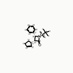 CC(C)(C)[Si](C)(C)N1C(=O)[C@H](C2C=CCC2)[C@@H]1c1ccccc1